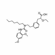 CCCCCCCN(CCc1cccc(CC(OCC)C(=O)O)c1)C(=O)Nc1ccc(OC)cc1OC